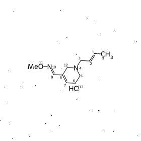 CC=CCN1CCC=C(C=NOC)C1.Cl